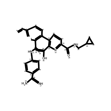 C=CC(=C)/C=C\C(=C(/C)C(=O)Nc1ccc(C(=N)N)cc1)c1ccc(C(=O)NCC2CC2)nc1C(=O)O